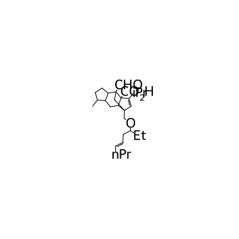 CCCC=CCC(CC)OCC12C=C(C(C)C)C3(C(=O)O)C1CC1C(C)CCC1C3(C=O)C2